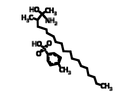 CCCCCCCCCCCCCCCCC(C)C(C)(N)O.Cc1ccc(S(=O)(=O)O)cc1